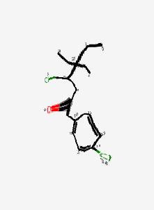 CCC(C)(C)C(Cl)CC(=O)c1ccc(Cl)cc1